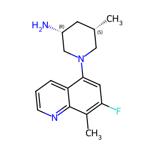 Cc1c(F)cc(N2C[C@@H](C)C[C@@H](N)C2)c2cccnc12